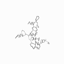 COc1cnc2cccc(C(O)CC(NCc3cc4c(cc3F)SCC(=O)N4)C3CCCNC3)c2n1